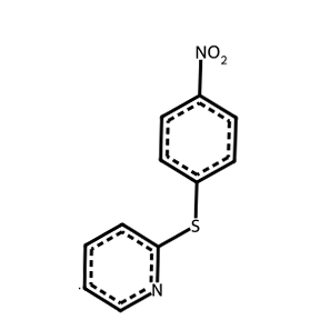 O=[N+]([O-])c1ccc(Sc2cc[c]cn2)cc1